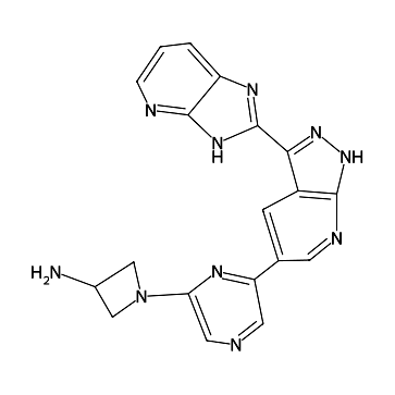 NC1CN(c2cncc(-c3cnc4[nH]nc(-c5nc6cccnc6[nH]5)c4c3)n2)C1